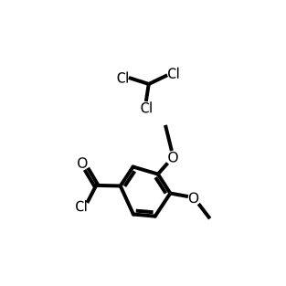 COc1ccc(C(=O)Cl)cc1OC.ClC(Cl)Cl